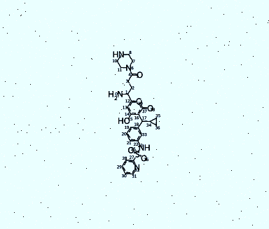 NC(CCC(=O)N1CCNCC1)c1cc(O)c(C(c2cccc(NS(=O)(=O)c3ccccn3)c2)C2CC2)c(=O)o1